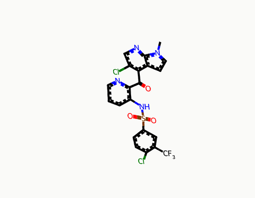 Cn1ccc2c(C(=O)c3ncccc3NS(=O)(=O)c3ccc(Cl)c(C(F)(F)F)c3)c(Cl)cnc21